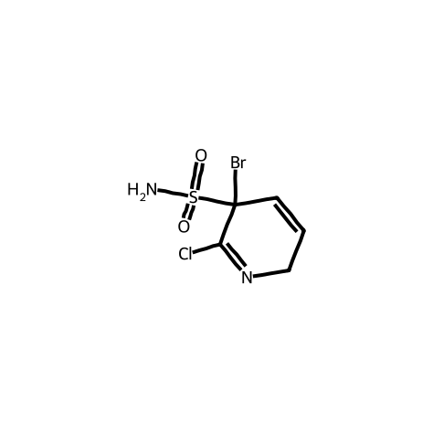 NS(=O)(=O)C1(Br)C=CCN=C1Cl